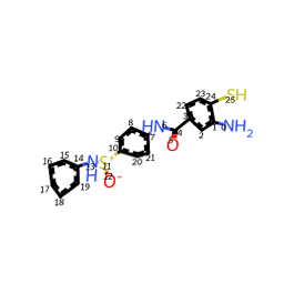 Nc1cc(C(=O)Nc2ccc([S+]([O-])Nc3ccccc3)cc2)ccc1S